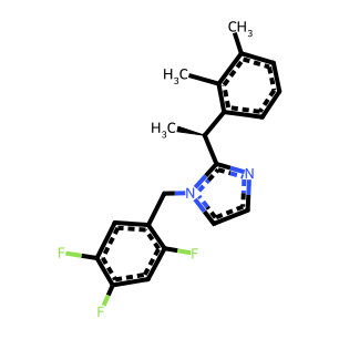 Cc1cccc([C@H](C)c2nccn2Cc2cc(F)c(F)cc2F)c1C